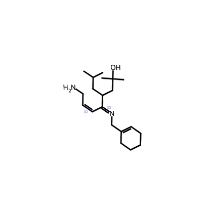 CC(C)CC(CC(C)(C)O)C(/C=C\CN)=N/CC1=CCCCC1